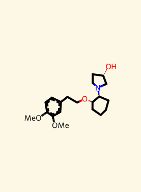 COc1ccc(CCO[C@H]2CCCC[C@@H]2N2CC[C@H](O)C2)cc1OC